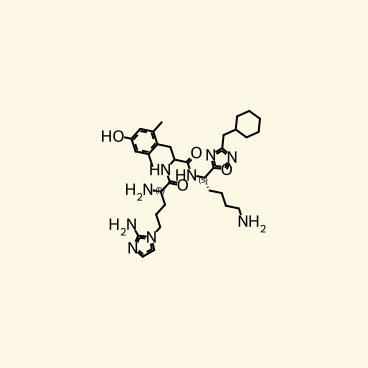 Cc1cc(O)cc(C)c1CC(NC(=O)[C@H](N)CCCn1ccnc1N)C(=O)N[C@@H](CCCCN)c1nc(CC2CCCCC2)no1